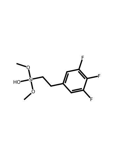 CO[Si](O)(CCc1cc(F)c(F)c(F)c1)OC